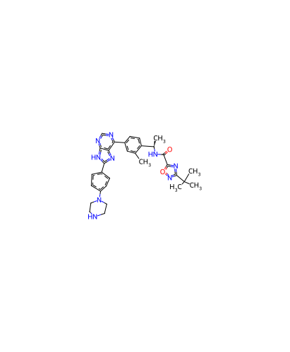 Cc1cc(-c2ncnc3[nH]c(-c4ccc(N5CCNCC5)cc4)nc23)ccc1[C@@H](C)NC(=O)c1nc(C(C)(C)C)no1